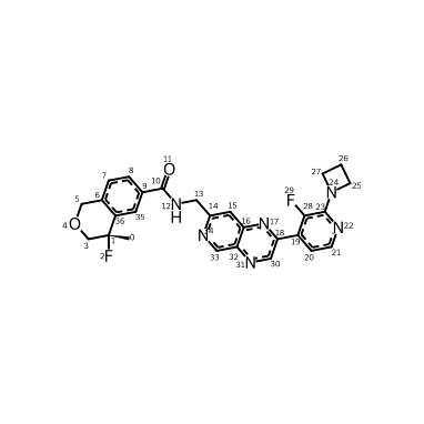 C[C@@]1(F)COCc2ccc(C(=O)NCc3cc4nc(-c5ccnc(N6CCC6)c5F)cnc4cn3)cc21